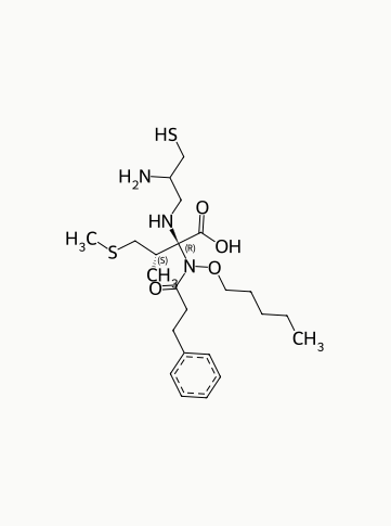 CCCCCON(C(=O)CCc1ccccc1)[C@@](NCC(N)CS)(C(=O)O)[C@H](C)CSC